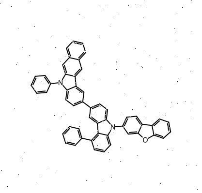 c1ccc(-c2cccc3c2c2cc(-c4ccc5c(c4)c4cc6ccccc6cc4n5-c4ccccc4)ccc2n3-c2ccc3c(c2)oc2ccccc23)cc1